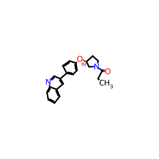 CCC(=O)N1CC[C@H](Oc2ccc(-c3cnc4ccccc4c3)cc2)C1